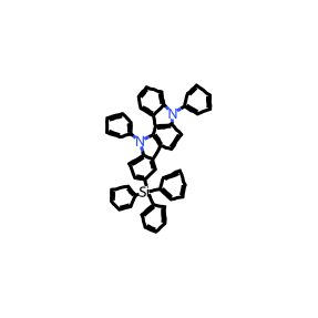 c1ccc(-n2c3ccccc3c3c2ccc2c4cc([Si](c5ccccc5)(c5ccccc5)c5ccccc5)ccc4n(-c4ccccc4)c23)cc1